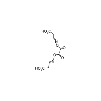 O=C(O)CC=NOC(=O)C(=O)ON=CCC(=O)O